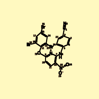 N#Cc1ccc(Nc2nc(Oc3c(Br)cc(Br)cc3Br)ccc2[N+](=O)[O-])cc1